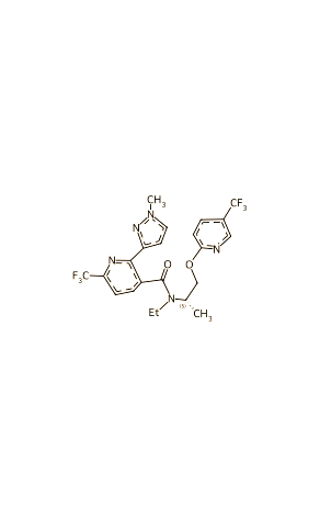 CCN(C(=O)c1ccc(C(F)(F)F)nc1-c1ccn(C)n1)[C@@H](C)COc1ccc(C(F)(F)F)cn1